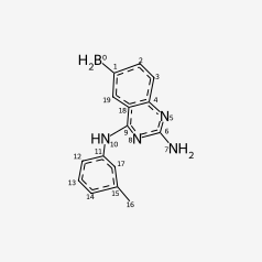 Bc1ccc2nc(N)nc(Nc3cccc(C)c3)c2c1